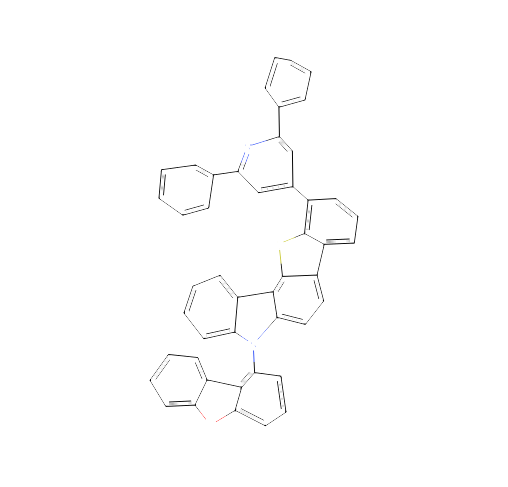 c1ccc(-c2cc(-c3cccc4c3sc3c4ccc4c3c3ccccc3n4-c3cccc4oc5ccccc5c34)cc(-c3ccccc3)n2)cc1